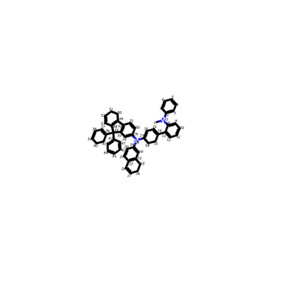 CN(c1ccccc1)c1ccccc1C1=CC=C(N(c2ccc3c(c2)CCC=C3)c2ccc3c(c2)C(C2=CC=CCC2)(c2ccccc2)C2=C3CCC=C2)CC1